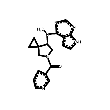 CN(c1ncnc2[nH]ccc12)[C@H]1CN(C(=O)c2cccnc2)CC12CC2